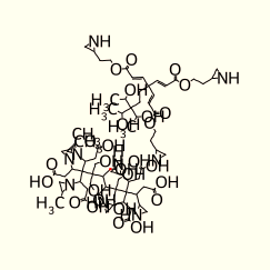 CC(O)C(CCC(C=CC(=O)OCCC1CN1)(C=CC(=O)OCCC1CN1)C=CC(=O)OCCC1CN1)(C(C)O)C(C)O.CC1CN1C(CC(=O)O)C(C(CC(=O)O)N1CC1C)(C(CC(=O)O)N1CC1C)C(CO)(CO)C(CO)C(CO)C(CO)(CO)C(C(CC(=O)O)C1CN1)(C(CC(=O)O)C1CN1)C(CC(=O)O)C1CN1